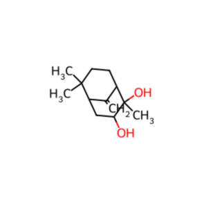 C=C1C2CC(O)C(C)(O)C1CCC2(C)C